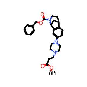 CCCOC(=O)CCN1CCN(c2ccc3c(c2)C2CC3CCN2C(=O)OCc2ccccc2)CC1